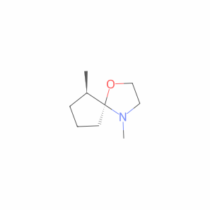 C[C@@H]1CCC[C@@]12OCCN2C